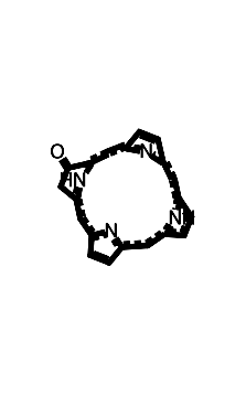 O=C1Cc2cc3nc(cc4ccc(cc5nc(cc1[nH]2)C=C5)[nH]4)C=C3